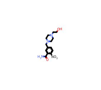 NC(=O)c1cc(CN2CCN(CCO)CC2)ccc1[N+](=O)[O-]